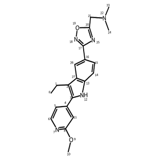 CCc1c(-c2ccnc(OC)c2)[nH]c2ccc(-c3noc(CN(C)C)n3)cc12